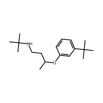 CC(CCNC(C)(C)C)Oc1cccc(C(C)(C)C)c1